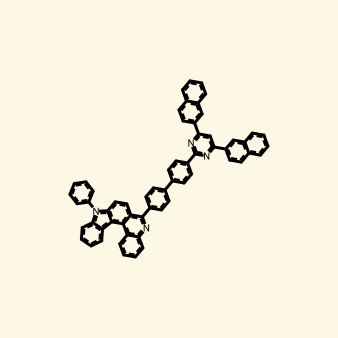 c1ccc(-n2c3ccccc3c3c4c(ccc32)c(-c2ccc(-c3ccc(-c5nc(-c6ccc7ccccc7c6)cc(-c6ccc7ccccc7c6)n5)cc3)cc2)nc2ccccc24)cc1